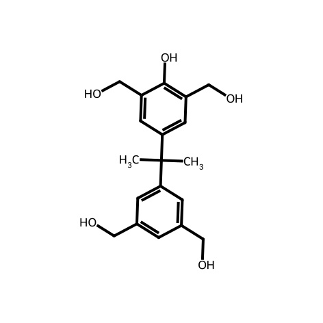 CC(C)(c1cc(CO)cc(CO)c1)c1cc(CO)c(O)c(CO)c1